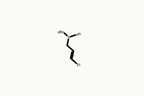 [CH2]CCCN(C/C=C/CC)CCC